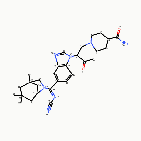 CC(=O)C(CN1CCC(C(N)=O)CC1)n1cnc2cc(C(=NC#N)N3CC4(C)CC3CC(C)(C)C4)ccc21